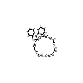 c1ccc(CC2(Cc3ccccc3)COCCOCCOCCOCCOCCO2)cc1